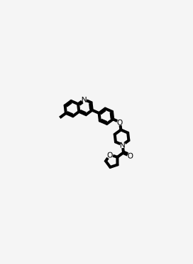 Cc1ccc2ncc(-c3ccc(OC4CCN(C(=O)C5CCCO5)CC4)cc3)cc2c1